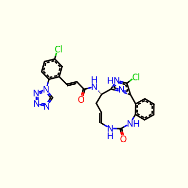 O=C(/C=C/c1cc(Cl)ccc1-n1cnnn1)N[C@H]1C/C=C/NC(=O)Nc2ccccc2-c2nc1[nH]c2Cl